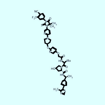 Cc1ncsc1-c1ccc([C@H](C)NC(=O)[C@@H]2C[C@@H](O)CN2C(=O)C(NC(=O)COc2ccc(OC3CCN(c4ccc(N5C(=S)N(c6ccc(C#N)c(C(F)(F)F)c6)C(=O)C5(C)C)cn4)CC3)nc2)C(C)(C)C)cc1